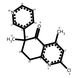 Cc1cc(Cl)nc2c1C(=O)C(C)(c1cccnc1)CC2